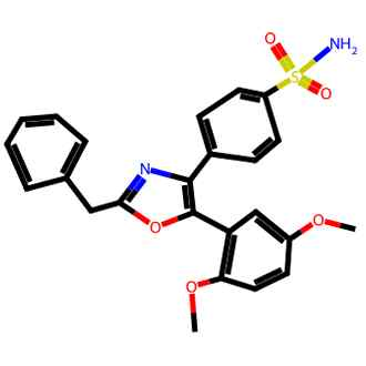 COc1ccc(OC)c(-c2oc(Cc3ccccc3)nc2-c2ccc(S(N)(=O)=O)cc2)c1